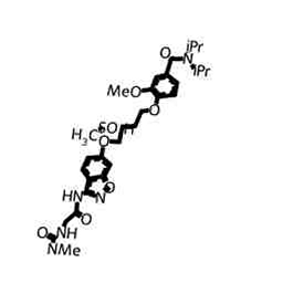 CNC(=O)NCC(=O)Nc1noc2cc(OCCCCOc3ccc(C(=O)N(C(C)C)C(C)C)cc3OC)ccc12.CS(=O)(=O)O